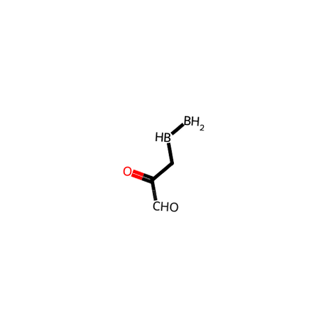 BBCC(=O)C=O